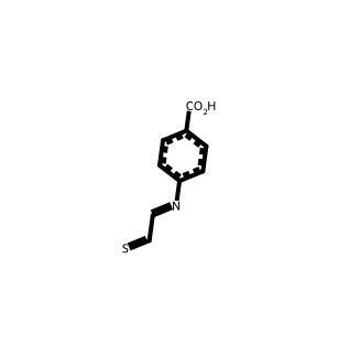 O=C(O)c1ccc(N=CC=S)cc1